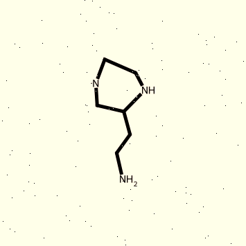 NCCC1C[N]CCN1